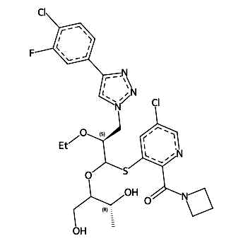 CCO[C@@H](Cn1cc(-c2ccc(Cl)c(F)c2)nn1)C(OC(CO)[C@@H](C)O)Sc1cc(Cl)cnc1C(=O)N1CCC1